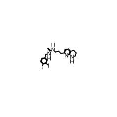 C=C(NCCCc1ccc2c(n1)NCCC2)NCc1ccc(I)c(I)c1